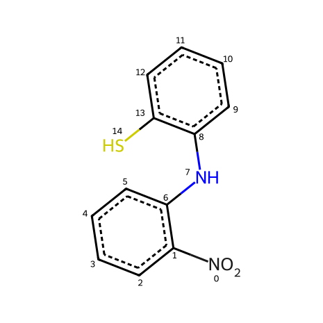 O=[N+]([O-])c1ccccc1Nc1ccccc1S